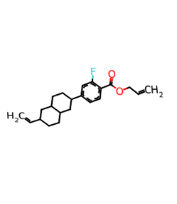 C=CCOC(=O)c1ccc(C2CCC3CC(C=C)CCC3C2)cc1F